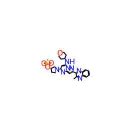 Cc1nc2ccccc2nc1-c1cc2nc(N3CCC(OS(C)(=O)=O)C3)cc(NC3CCOCC3)n2n1